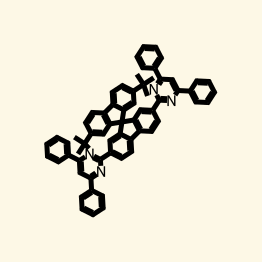 CC(C)(C)c1ccc2c(c1)C1(c3cc(-c4nc(-c5ccccc5)cc(-c5ccccc5)n4)ccc3-c3ccc(-c4nc(-c5ccccc5)cc(-c5ccccc5)n4)cc31)c1cc(C(C)(C)C)ccc1-2